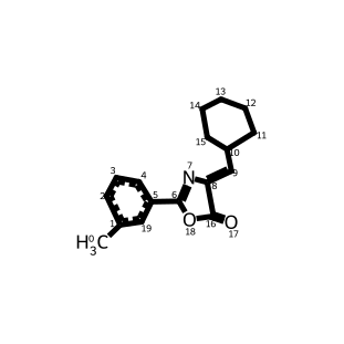 Cc1cccc(C2=N/C(=C\C3CCCCC3)C(=O)O2)c1